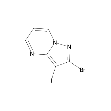 Brc1nn2cccnc2c1I